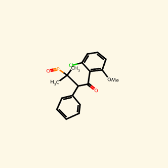 COc1cccc(Cl)c1C(=O)C(c1ccccc1)C(C)(C)P=O